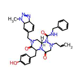 C=CCN1CC(=O)N2C(Cc3ccc(O)cc3)C(=O)N(CC3=CC4C(C=C3)N=NN4C)C[C@@H]2N1C(=O)NCc1ccccc1